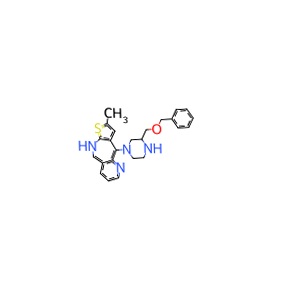 Cc1cc2c(s1)NC=c1cccnc1=C2N1CCNC(COCc2ccccc2)C1